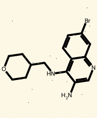 Nc1cnc2cc(Br)ccc2c1NCC1CCOCC1